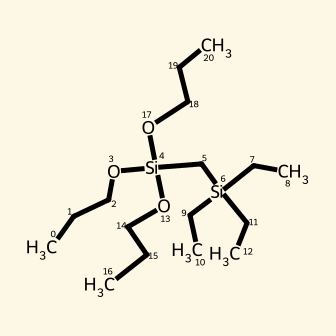 CCCO[Si](C[Si](CC)(CC)CC)(OCCC)OCCC